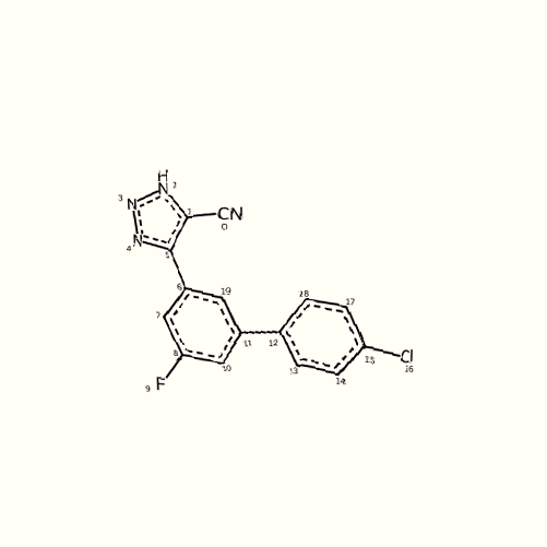 N#Cc1[nH]nnc1-c1cc(F)cc(-c2ccc(Cl)cc2)c1